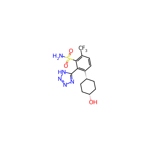 NS(=O)(=O)c1c(C(F)(F)F)ccc([C@H]2CC[C@@H](O)CC2)c1-c1nnn[nH]1